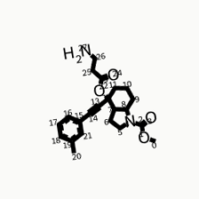 COC(=O)N1CCC2C1CCCC2(C#Cc1cccc(C)c1)OC(=O)CCN